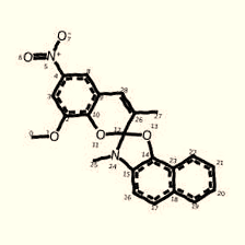 COc1cc([N+](=O)[O-])cc2c1OC1(Oc3c(ccc4ccccc34)N1C)C(C)=C2